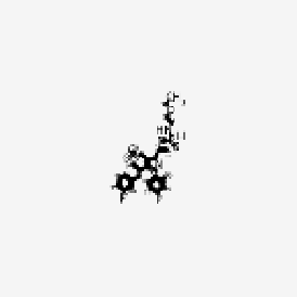 CCOCCNNS(=O)(=O)/C=C/c1nn(-c2ccc(F)cc2F)c2c1CS(=O)(=O)CC2Cc1cccc(F)c1